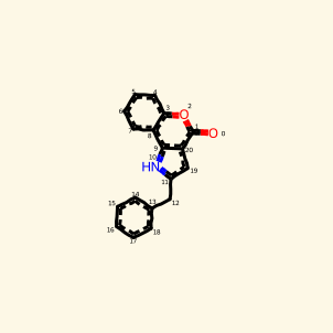 O=c1oc2ccccc2c2[nH]c(Cc3ccccc3)cc12